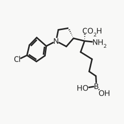 N[C@](CCCCB(O)O)(C(=O)O)[C@H]1CCN(c2ccc(Cl)cc2)C1